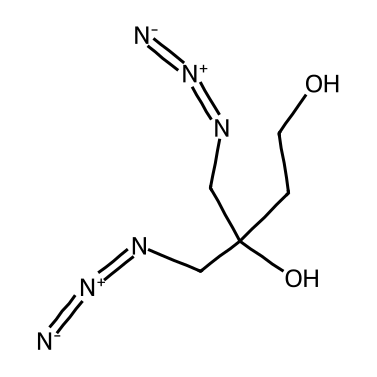 [N-]=[N+]=NCC(O)(CCO)CN=[N+]=[N-]